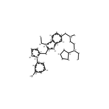 CCN(CCN(C)Cc1ccc2c(c1)nc(Cc1ccnn1-c1cccc(F)c1)n2CC)C1CCCC1